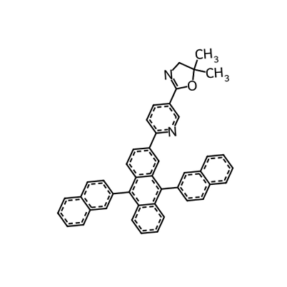 CC1(C)CN=C(c2ccc(-c3ccc4c(-c5ccc6ccccc6c5)c5ccccc5c(-c5ccc6ccccc6c5)c4c3)nc2)O1